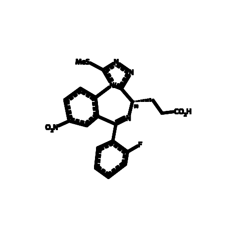 CSc1nnc2n1-c1ccc([N+](=O)[O-])cc1C(c1ccccc1F)=N[C@H]2CCC(=O)O